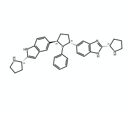 c1ccc(N2[C@@H](c3ccc4[nH]c([C@@H]5CCCN5)cc4c3)CC[C@@H]2c2ccc3[nH]c([C@@H]4CCCN4)nc3c2)cc1